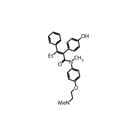 CC/C(=C(\C(=O)N(C)c1ccc(OCCNC)cc1)c1ccc(O)cc1)c1ccccc1